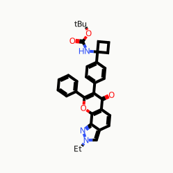 CCn1cc2ccc3c(=O)c(-c4ccc(C5(NC(=O)OC(C)(C)C)CCC5)cc4)c(-c4ccccc4)oc3c2n1